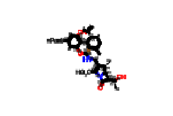 C=C(C)[C@@H]1CCC(C)=C[C@H]1c1c(O)cc(CCCCC)cc1OC(=S)NCC1=C(C(=O)O)N2C(=O)[C@H]([C@@H](C)O)C2[C@H]1C